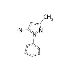 Cc1cc([N])n(-c2ccccc2)n1